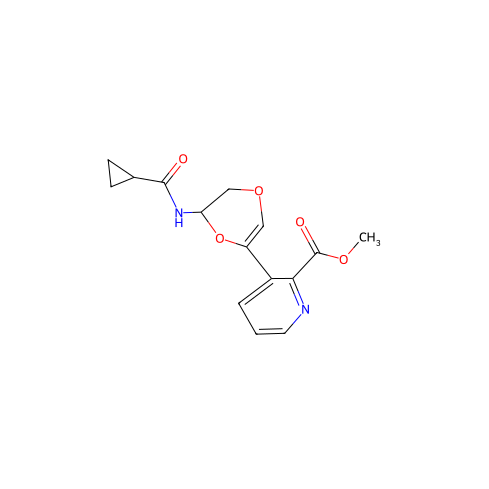 COC(=O)c1ncccc1C1=COCC(NC(=O)C2CC2)O1